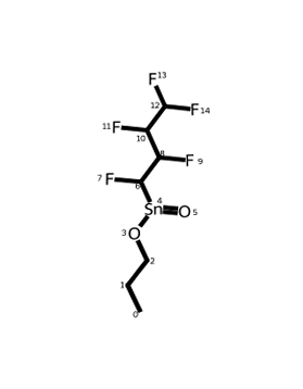 CCC[O][Sn](=[O])[CH](F)C(F)C(F)C(F)F